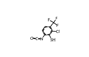 O=C=Nc1ccc(C(F)(F)F)c(Cl)c1S